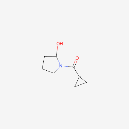 O=C([C]1CC1)N1CCCC1O